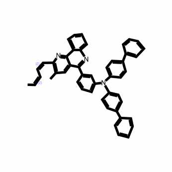 C/C=C\C=C/c1nc2c(cc1C)c(-c1cccc(N(c3ccc(-c4ccccc4)cc3)c3ccc(-c4ccccc4)cc3)c1)nc1ccccc12